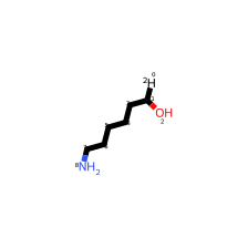 [2H]C(O)CCCCCN